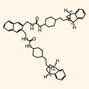 O=C(NCc1cc2ccccc2cc1CNC(=O)NC1CCC(CCN2[C@@H]3CC[C@H]2c2ccccc23)CC1)NC1CCC(CCN2[C@@H]3CC[C@H]2c2ccccc23)CC1